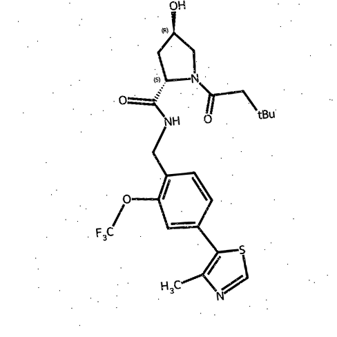 Cc1ncsc1-c1ccc(CNC(=O)[C@@H]2C[C@@H](O)CN2C(=O)CC(C)(C)C)c(OC(F)(F)F)c1